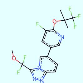 COC(F)(F)c1nnc2ccc(-c3cnc(OC(C)(C)C(F)(F)F)c(F)c3)cn12